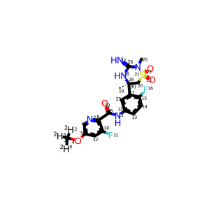 [2H]C([2H])([2H])Oc1cnc(C(=O)Nc2ccc(F)c([C@]3(C)CS(=O)(=O)N(C)C(=N)N3)c2)c(F)c1